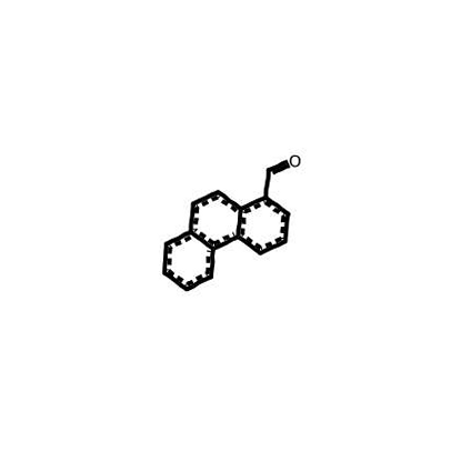 O=Cc1cccc2c1ccc1ccccc12